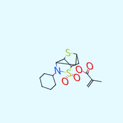 C=C(C)C(=O)OC1C2CC3C(S2)C1N(C1CCCCC1)S3(=O)=O